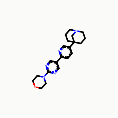 c1nc(N2CCOCC2)ncc1-c1ccc(C23CCCN(CCC2)C3)cn1